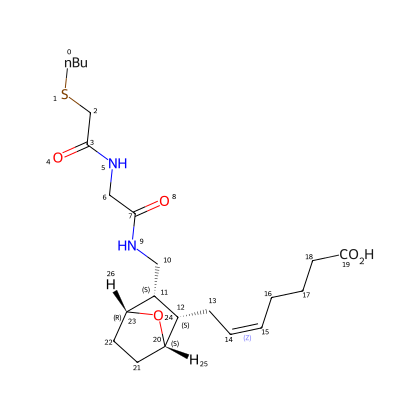 CCCCSCC(=O)NCC(=O)NC[C@@H]1[C@H](C/C=C\CCCC(=O)O)[C@@H]2CC[C@H]1O2